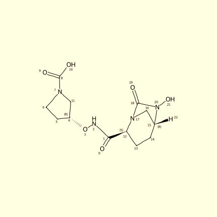 O=C(NO[C@@H]1CCN(C(=O)O)C1)[C@@H]1CC[C@@H]2CN1C(=O)N2O